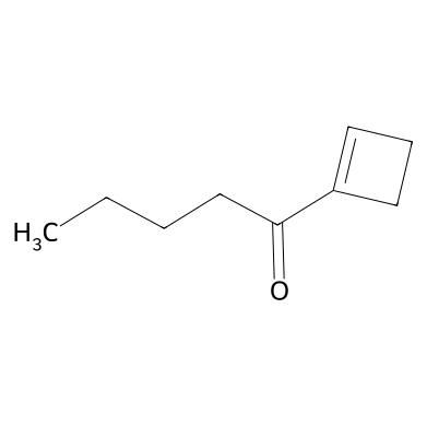 CCCCC(=O)C1=CCC1